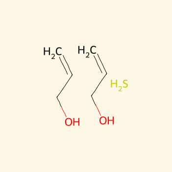 C=CCO.C=CCO.S